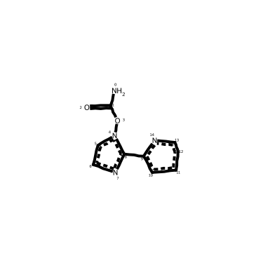 NC(=O)On1ccnc1-c1ccccn1